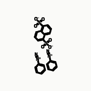 N#[N+]c1ccccc1.N#[N+]c1ccccc1.O=S(=O)([O-])c1cccc2c(S(=O)(=O)[O-])cccc12